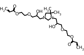 C=CC(=O)OCCOCC(O)CN1CN(CC(O)COCCOC(=O)C=C)C(C)(C)C1